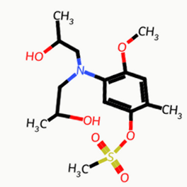 COc1cc(C)c(OS(C)(=O)=O)cc1N(CC(C)O)CC(C)O